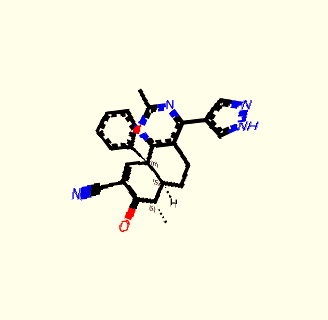 Cc1nc(-c2cn[nH]c2)c2c(n1)[C@@]1(c3ccccc3)C=C(C#N)C(=O)[C@@H](C)[C@@H]1CC2